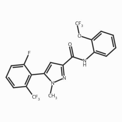 Cn1nc(C(=O)Nc2ccccc2OC(F)(F)F)cc1-c1c(F)cccc1C(F)(F)F